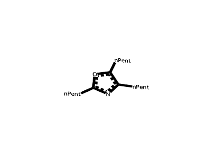 CCCCCc1nc(CCCCC)c(CCCCC)o1